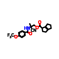 CC(C#N)(COC(=O)C1CCC2=C1CCC2)NC(=O)c1ccc(OC(F)(F)F)cc1